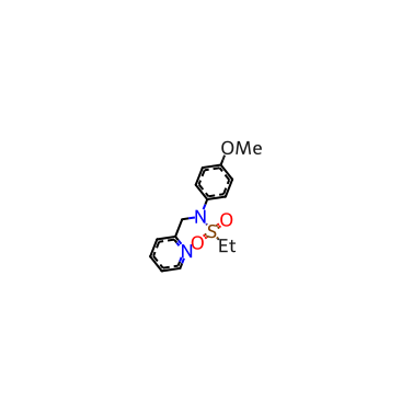 CCS(=O)(=O)N(Cc1ccccn1)c1ccc(OC)cc1